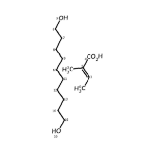 CC=C(C)C(=O)O.OCCCCCCCCCCO